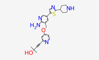 CC(C)(O)C#Cc1cc(OCc2cc(-c3cnc(C4CCNCC4)s3)cnc2N)ccn1